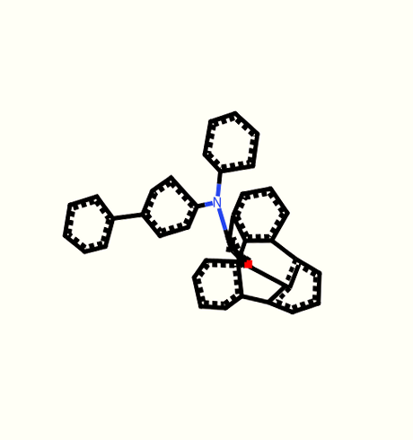 c1ccc(-c2ccc(N(c3ccccc3)c3cccc4c3-c3cccc5c3-c3ccccc3-c3cccc-5c3-4)cc2)cc1